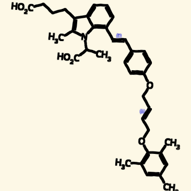 Cc1cc(C)c(OC/C=C/COc2ccc(/C=C/c3cccc4c(CCCC(=O)O)c(C)n(C(C)C(=O)O)c34)cc2)c(C)c1